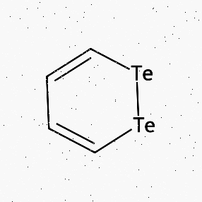 C1=C[Te][Te]C=C1